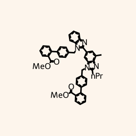 CCCc1nc2c(C)cc(-c3nc4ccccc4n3Cc3ccc(-c4ccccc4C(=O)OC)cc3)cc2n1Cc1ccc(-c2ccccc2C(=O)OC)cc1